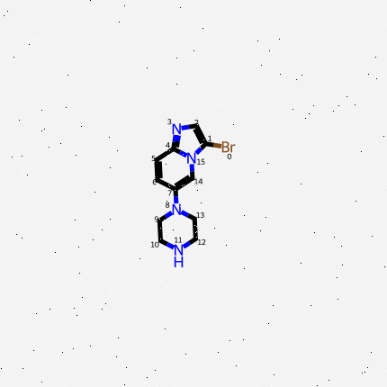 Brc1cnc2ccc(N3CCNCC3)cn12